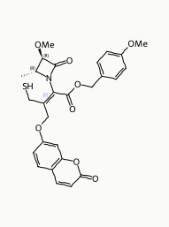 COc1ccc(COC(=O)/C(=C(/CS)COc2ccc3ccc(=O)oc3c2)N2C(=O)[C@H](OC)[C@H]2C)cc1